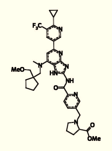 COCC1(CN(C)c2cc(-c3cnc(C4CC4)c(C(F)(F)F)c3)nc3nc(NC(=O)c4ccc(CN5CCCC5C(=O)OC)cn4)[nH]c23)CCCC1